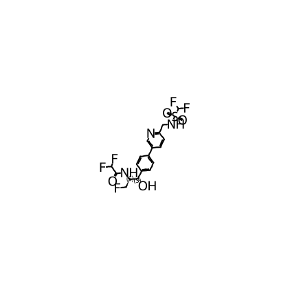 O=C(N[C@H](CF)[C@@H](O)c1ccc(-c2ccc(CNS(=O)(=O)C(F)F)nc2)cc1)C(F)F